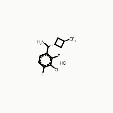 Cl.NC(c1ccc(F)c(Cl)c1F)[C@H]1C[C@H](C(F)(F)F)C1